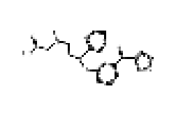 CN(CCC(Oc1cccc(C(=O)c2ccsc2)c1)c1ccccc1)CC(=O)O